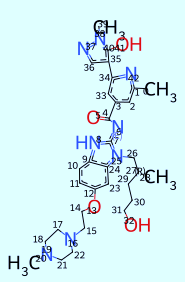 Cc1cc(C(=O)/N=c2\[nH]c3ccc(OCCN4CCN(C)CC4)cc3n2C[C@H](C)CCCO)cc(-c2cnn(C)c2O)n1